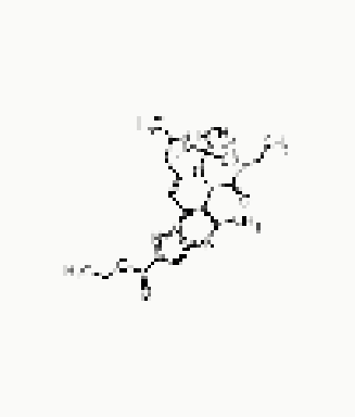 CCOC(=O)c1cc2nc(C)c([C@H](OC(C)(C)C)C(=O)OCC)c(/C=C/CC(C)C)n2n1